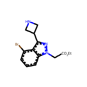 CCOC(=O)Cn1nc(C2CNC2)c2c(Br)cccc21